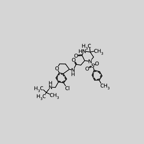 Cc1ccc(S(=O)(=O)N2CC(C)(C)NC(=O)C2CC(=O)N[C@@H]2CCOc3cc(CNC(C)(C)C)c(Cl)cc32)cc1